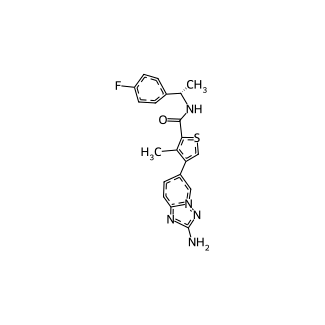 Cc1c(-c2ccc3nc(N)nn3c2)csc1C(=O)N[C@@H](C)c1ccc(F)cc1